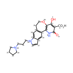 O=C(O)c1c(O)c2c([nH]c1=O)-c1cc3ccn(CCCN4CCCC4)c3cc1CCO2